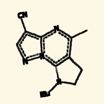 CCC(C)N1CCc2c(C)nc3c(C#N)cnn3c21